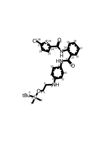 CC(C)(C)[Si](C)(C)OCCNc1ccc(NC(=O)c2ccccc2NC(=O)c2ccc(Cl)s2)cc1